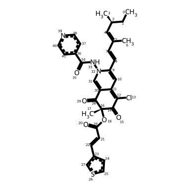 CC[C@H](C)/C=C(C)/C=C/C1=CC2=C(Cl)C(=O)[C@](C)(OC(=O)/C=C/c3ccsc3)C(=O)C2=CN1NC(=O)c1ccncc1